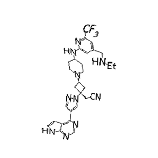 CCNCc1cc(NC2CCN([C@H]3C[C@](CC#N)(n4cc(-c5ncnc6[nH]ccc56)cn4)C3)CC2)nc(C(F)(F)F)c1